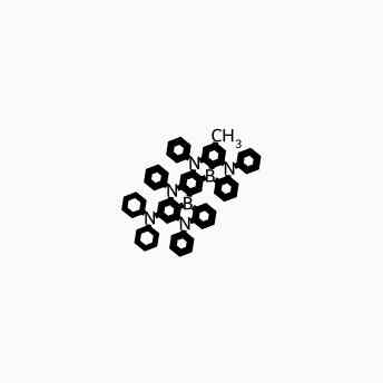 Cc1cc2c3c(c1)N(c1ccccc1)c1cc4c(cc1B3c1ccccc1N2c1ccccc1)B1c2ccccc2N(c2ccccc2)c2cc(N(C3CCCCC3)C3CCCCC3)cc(c21)N4c1ccccc1